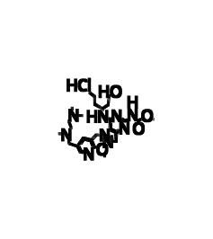 CCC[C@@H](CCO)Nc1nc(NC(=O)OC)nc2cnn(Cc3cc(CN(C)CCN(C)C)cnc3OC)c12.Cl